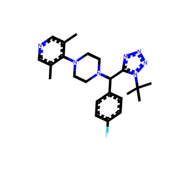 Cc1cncc(C)c1N1CCN(C(c2ccc(F)cc2)c2nnnn2C(C)(C)C)CC1